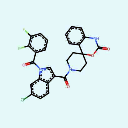 O=C1Nc2ccccc2C2(CCN(C(=O)c3cn(C(=O)c4cccc(F)c4F)c4cc(Cl)ccc34)CC2)O1